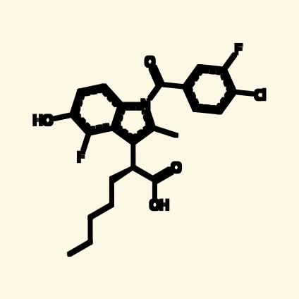 CCCCC[C@H](C(=O)O)c1c(C)n(C(=O)c2ccc(Cl)c(F)c2)c2ccc(O)c(F)c12